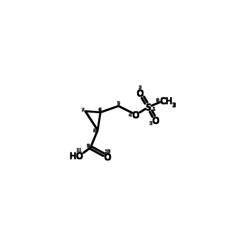 CS(=O)(=O)OCC1CC1C(=O)O